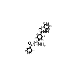 NC(CNC(=O)c1ccncc1)c1ccc(C(=O)Nc2ccncc2)cc1